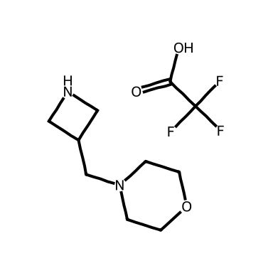 C1CN(CC2CNC2)CCO1.O=C(O)C(F)(F)F